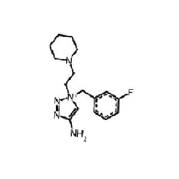 NC1=C[N+](CCN2CCCCC2)(Cc2cccc(F)c2)N=N1